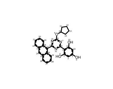 Oc1cc(O)c(-c2nc(OC3CCCC3)nc(-c3c4ccccc4cc4ccccc34)n2)c(O)c1